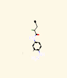 C#CCC(F)C(=O)Nc1ccc(NN)c(C(=O)O)c1